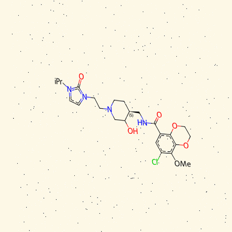 COc1c(Cl)cc(C(=O)NC[C@@H]2CCN(CCn3ccn(C(C)C)c3=O)CC2O)c2c1OCCO2